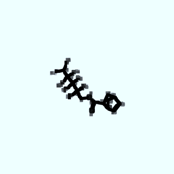 O=C(OCC(F)(F)C(F)(F)C(F)(F)C(F)F)C1CC2C=CC1C2